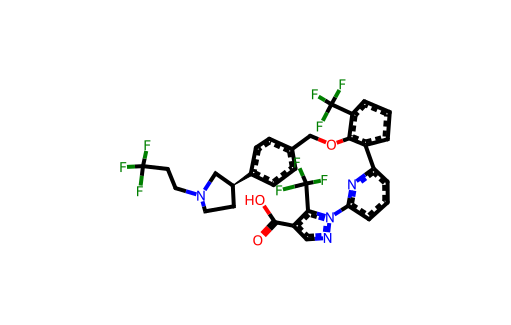 O=C(O)c1cnn(-c2cccc(-c3cccc(C(F)(F)F)c3OCc3ccc([C@H]4CCN(CCC(F)(F)F)C4)cc3)n2)c1C(F)(F)F